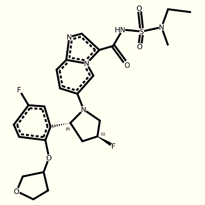 CCN(C)S(=O)(=O)NC(=O)c1cnc2ccc(N3C[C@@H](F)C[C@@H]3c3cc(F)ccc3OC3CCOC3)cn12